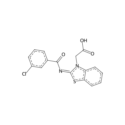 O=C(O)Cn1c(=NC(=O)c2cccc(Cl)c2)sc2ccccc21